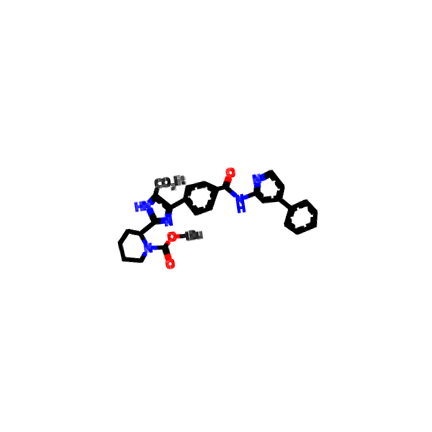 CCOC(=O)c1[nH]c(C2CCCCN2C(=O)OC(C)(C)C)nc1-c1ccc(C(=O)Nc2cc(-c3ccccc3)ccn2)cc1